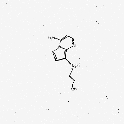 Nc1ccnc2c([AsH]CCO)cnn12